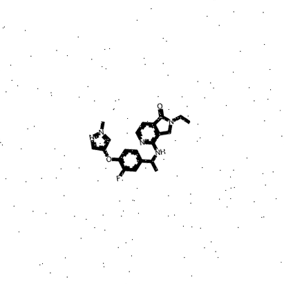 CCN1Cc2c(ccnc2NC(C)c2ccc(Oc3cnn(C)c3)c(F)c2)C1=O